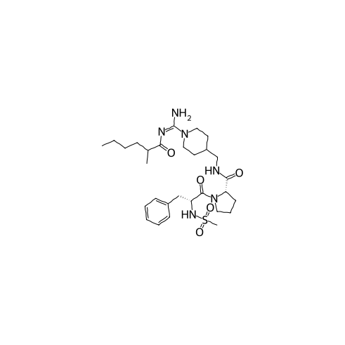 CCCCC(C)C(=O)/N=C(/N)N1CCC(CNC(=O)[C@@H]2CCCN2C(=O)[C@@H](Cc2ccccc2)NS(C)(=O)=O)CC1